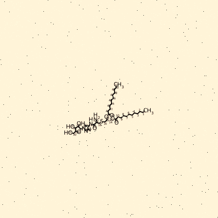 CCCCCCCCCCCC(=O)OC[C@H](CSC[C@@H](N)C(=O)Nc1cn([C@H]2OC(CO)[C@@H](O)[C@H]2O)nn1)OC(=O)CCCCCCCCCCC